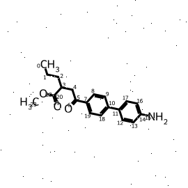 CCCC(CC(=O)c1ccc(-c2ccc(N)cc2)cc1)C(=O)OC